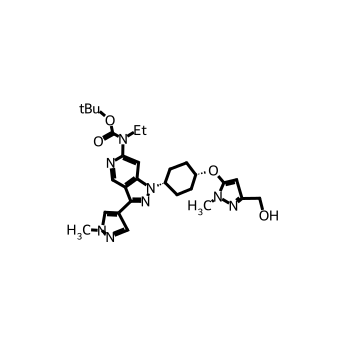 CCN(C(=O)OC(C)(C)C)c1cc2c(cn1)c(-c1cnn(C)c1)nn2[C@H]1CC[C@@H](Oc2cc(CO)nn2C)CC1